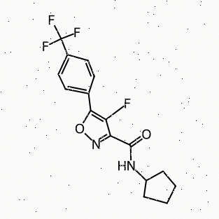 O=C(NC1CCCC1)c1noc(-c2ccc(C(F)(F)F)cc2)c1F